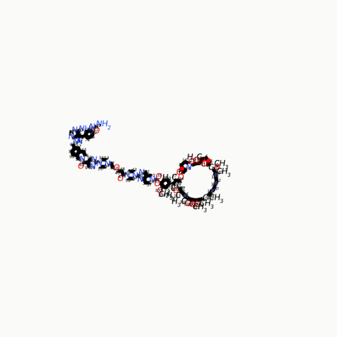 CO[C@H]1C[C@@H]2CC[C@@H](C)[C@@](O)(O2)C(=O)C(=O)N2CCCC[C@H]2C(=O)O[C@H]([C@H](C)C[C@@H]2CC[C@@H](OC(=O)N3CCc4nc(N5CCN(C(=O)CCOCCN6CCN(c7ncc(C(=O)N8CCc9cc(Cn%10nc(-c%11ccc%12oc(N)nc%12c%11)c%11c(N)ncnc%11%10)ccc9C8)cn7)CC6)CC5)ncc4C3)[C@H](OC)C2)C[C@@H](OC)[C@H](C)/C=C(\C)[C@@H](O)[C@@H](OC)C(=O)[C@H](C)C[C@H](C)/C=C/C=C/C=C/1C